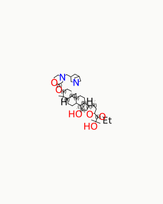 CCO[C@@H](C1C[C@@H](C)[C@H]2C(O1)[C@H](O)[C@@]1(C)C3CC[C@H]4C(C)(C)[C@@H](O[C@H]5CN(CC6CC7CN(C7)C6)CCO5)CC[C@@]45C[C@@]35CC[C@]21C)C(C)(C)O